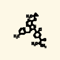 Cc1ccnc(Cn2c(-c3ccc(C(=O)N(C)C)cc3Cl)nc3c(OC4(C)CC4)ncnc32)c1